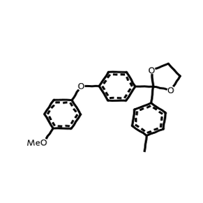 COc1ccc(Oc2ccc(C3(c4ccc(C)cc4)OCCO3)cc2)cc1